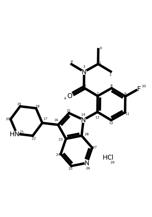 CC(C)N(C)C(=O)c1cc(F)ccc1-n1cc(C2CCCNC2)c2ccncc21.Cl